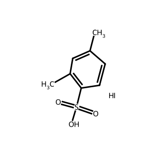 Cc1ccc(S(=O)(=O)O)c(C)c1.I